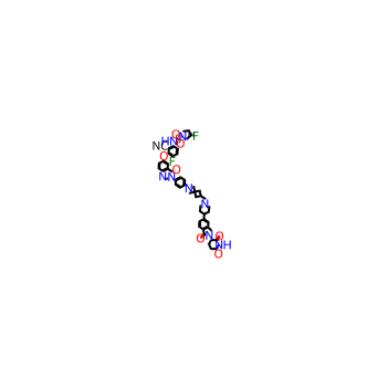 N#Cc1c(NS(=O)(=O)N2CC[C@@H](F)C2)ccc(F)c1Oc1ccc2ncn(-c3ccc(N4CC5(CC(CN6CCC(c7ccc8c(c7)CN(C7CCC(=O)NC7=O)C8=O)CC6)C5)C4)cc3)c(=O)c2c1